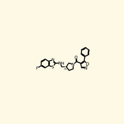 O=C(c1cnoc1-c1ccccc1)N1CC[C@@H](CNc2nc3ccc(F)cc3s2)C1